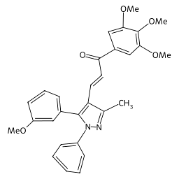 COc1cccc(-c2c(/C=C/C(=O)c3cc(OC)c(OC)c(OC)c3)c(C)nn2-c2ccccc2)c1